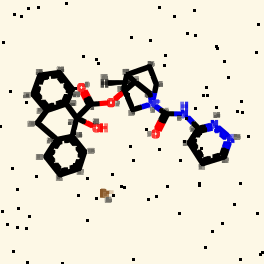 O=C(O[C@H]1C[N+]2(C(=O)Nc3cccnn3)CCC1CC2)C1(O)c2ccccc2Cc2ccccc21.[Br-]